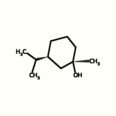 CC(C)[C@@H]1CCC[C@@](C)(O)C1